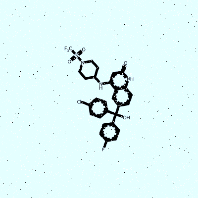 O=c1cc(NC2CCN(S(=O)(=O)C(F)(F)F)CC2)c2cc(C(O)(c3ccc(F)cc3)c3ccc(Cl)cc3)ccc2[nH]1